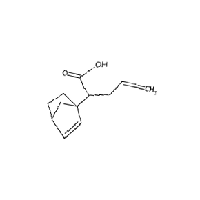 C=CCC(C(=O)O)C12C=CC(CC1)C2